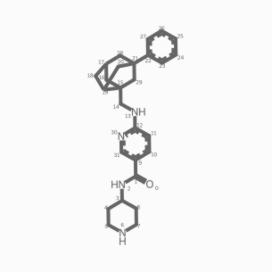 O=C(NC1CCNCC1)c1ccc(NCC23CC4CC2CC(c2ccccc2)(C4)C3)nc1